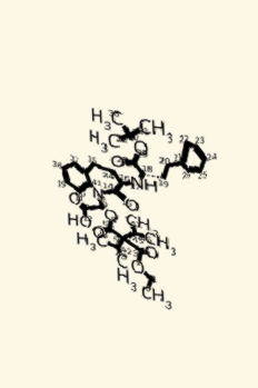 CCOC(=O)C(C(=O)OC(C(=O)O)N1C(=O)C(N[C@@H](CCc2ccccc2)C(=O)OC(C)(C)C)CCc2ccccc21)(C(C)C)C(C)C